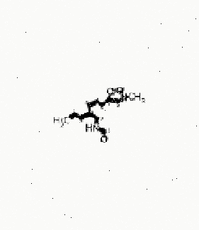 C=C/C=C(\C=C/CC1=CN(C)OO1)CNC=O